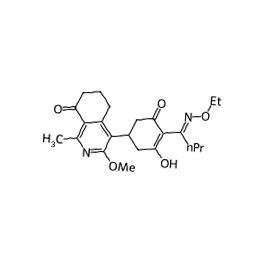 CCCC(=NOCC)C1=C(O)CC(c2c(OC)nc(C)c3c2CCCC3=O)CC1=O